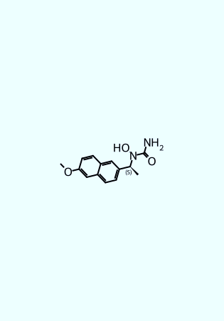 COc1ccc2cc([C@H](C)N(O)C(N)=O)ccc2c1